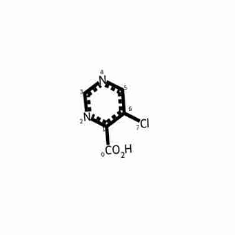 O=C(O)c1ncncc1Cl